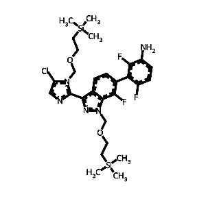 C[Si](C)(C)CCOCn1c(Cl)cnc1-c1nn(COCC[Si](C)(C)C)c2c(F)c(-c3c(F)ccc(N)c3F)ccc12